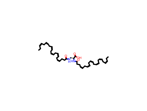 CC/C=C\C/C=C\C/C=C\C/C=C\C/C=C\C/C=C\CCC(=O)NC[C@H](NC(=O)CC/C=C\C/C=C\C/C=C\C/C=C\C/C=C\C/C=C\CC)C(=O)O